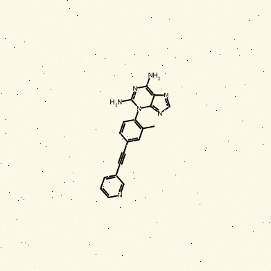 Cc1cc(C#Cc2cccnc2)ccc1-n1c(N)nc(N)c2ncnc1-2